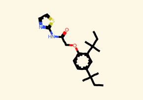 CCC(C)(C)c1ccc(OCC(=O)Nc2nccs2)c(C(C)(C)CC)c1